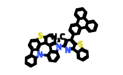 Cc1c(-n2c3ccc4sc5ccc6c7ccccc7n7c8cccc2c8c3c4c5c67)nc2c(sc3ccccc32)c1-c1ccc2c3ccccc3c3ccccc3c2c1